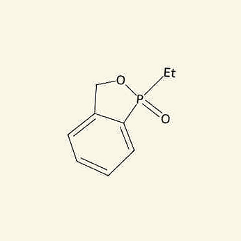 CCP1(=O)OCc2ccccc21